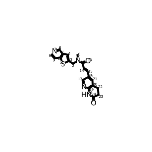 CN(Cc1cc2cnccc2s1)C(=O)/C=C/c1cnc2c(c1)CCC(=O)N2